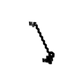 CCCCCCCCCCCCCCCc1cccc(OS(=O)(=O)O)c1